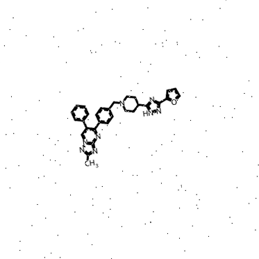 Cc1nc2nc(-c3ccc(CN4CCC(c5nc(-c6ccco6)n[nH]5)CC4)cc3)c(-c3ccccc3)cn2n1